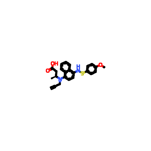 C#CCN(c1ccc(NSc2ccc(OC)cc2)c2ccccc12)[C@@H](C)CC(=O)O